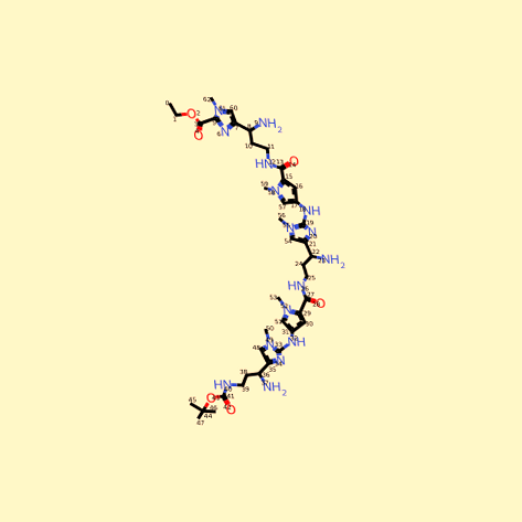 CCOC(=O)c1nc(C(N)CCNC(=O)c2cc(Nc3nc(C(N)CCNC(=O)c4cc(Nc5nc(C(N)CCNC(=O)OC(C)(C)C)cn5C)cn4C)cn3C)cn2C)cn1C